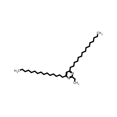 C[CH]c1nc(CCCCCCCCCCCCCCC)cc(CCCCCCCCCCCCCCC)n1